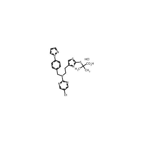 CCc1cnc(N(CCc2csc(SC(C)(C)C(=O)O)n2)Cc2ccc(-n3cccn3)cc2)nc1.Cl